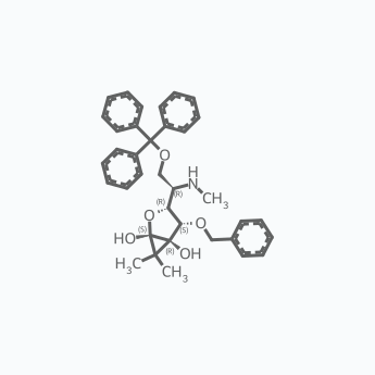 CN[C@H](COC(c1ccccc1)(c1ccccc1)c1ccccc1)[C@H]1O[C@@]2(O)C(C)(C)[C@@]2(O)[C@H]1OCc1ccccc1